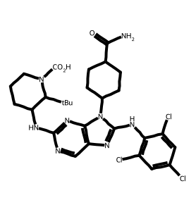 CC(C)(C)C1C(Nc2ncc3nc(Nc4c(Cl)cc(Cl)cc4Cl)n(C4CCC(C(N)=O)CC4)c3n2)CCCN1C(=O)O